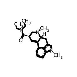 CCN(CC)C(=O)[C@@H]1C=C2c3cccc4c3c(cn4C)C[C@H]2N(C)C1